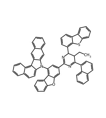 CCC1C(c2cccc3ccccc23)=NC(c2cc(-n3c4cc5ccccc5cc4c4c5ccccc5ccc43)c3c(c2)oc2ccccc23)=NC1c1cccc2c1sc1ccccc12